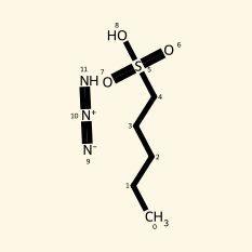 CCCCCS(=O)(=O)O.[N-]=[N+]=N